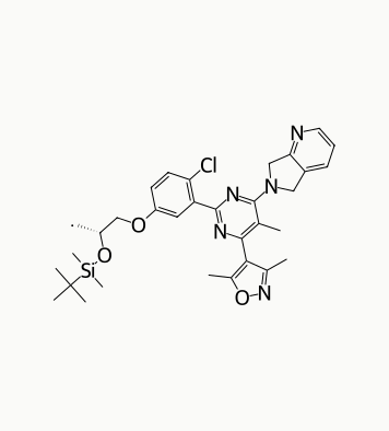 [CH2][C@H](COc1ccc(Cl)c(-c2nc(-c3c(C)noc3C)c(C)c(N3Cc4cccnc4C3)n2)c1)O[Si](C)(C)C(C)(C)C